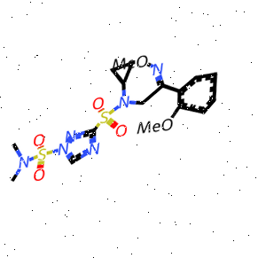 CO/N=C(\CN(C1CC1)S(=O)(=O)c1ncn(S(=O)(=O)N(C)C)n1)c1ccccc1OC